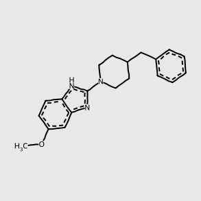 COc1ccc2[nH]c(N3CCC(Cc4ccccc4)CC3)nc2c1